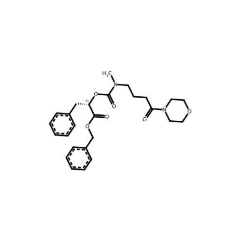 CN(CCCC(=O)N1CCOCC1)C(=O)O[C@@H](Cc1ccccc1)C(=O)OCc1ccccc1